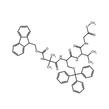 COC(=O)CNC(=O)C(NC(=O)C(CSC(c1ccccc1)(c1ccccc1)c1ccccc1)NC(=O)C(C)(C)NC(=O)OCC1c2ccccc2-c2ccccc21)C(C)C